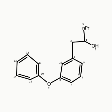 CCCC(O)Cc1cccc(Oc2ccccc2)c1